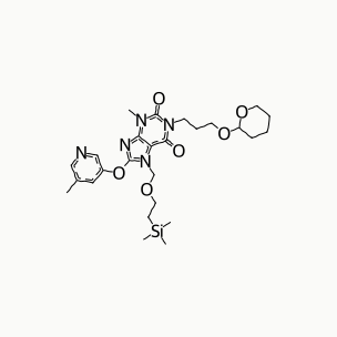 Cc1cncc(Oc2nc3c(c(=O)n(CCCOC4CCCCO4)c(=O)n3C)n2COCC[Si](C)(C)C)c1